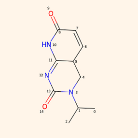 CC(C)N1CC2C=CC(=O)NC2=NC1=O